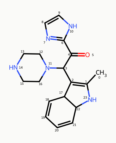 CC1=C(C(C(=O)c2ncc[nH]2)N2CCNCC2)C2C=CC=CC2N1